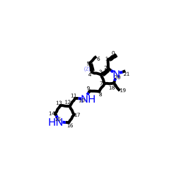 C=CC1=C(/C=C\C)C(CCNCC2CCNCC2)C(C)N1C